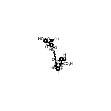 CC(C)c1c(-c2cc(F)cc3[nH]cc(CCNC(=O)CCCCCNC(=O)c4ccc5c(c4)C(=O)OC54c5ccc(O)cc5Oc5cc(O)ccc54)c23)[nH]c(C(=O)O)c1-c1c(Cl)ccc2[nH]ccc12